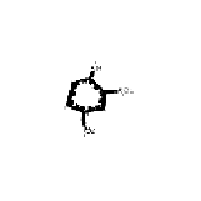 CC(C)COc1cc(C(C)(C)C)ccc1C#N